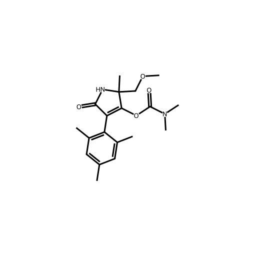 COCC1(C)NC(=O)C(c2c(C)cc(C)cc2C)=C1OC(=O)N(C)C